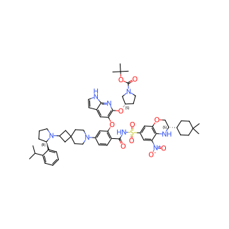 CC(C)c1ccccc1[C@H]1CCCN1C1CC2(CCN(c3ccc(C(=O)NS(=O)(=O)c4cc5c(c([N+](=O)[O-])c4)N[C@@H](C4CCC(C)(C)CC4)CO5)c(Oc4cc5cc[nH]c5nc4O[C@H]4CCN(C(=O)OC(C)(C)C)C4)c3)CC2)C1